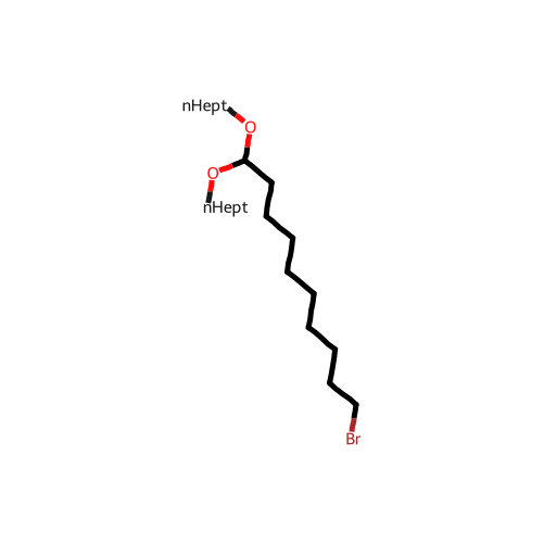 CCCCCCCOC(CCCCCCCCCBr)OCCCCCCC